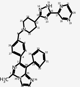 Cc1nc(-c2ccc(CN3CCC(c4n[nH]c(-c5cnccn5)n4)CC3)cc2)c(-c2ccccc2)c2nccn12